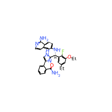 CCOc1cc(CC)cc([C@@H](Nc2ccc3c(N)nccc3c2)c2nc(-c3ccccc3C(N)=O)c[nH]2)c1F